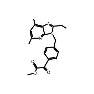 CCc1nc2c(C)cc(C)nc2n1Cc1ccc(C(=O)C(=O)OC)cc1